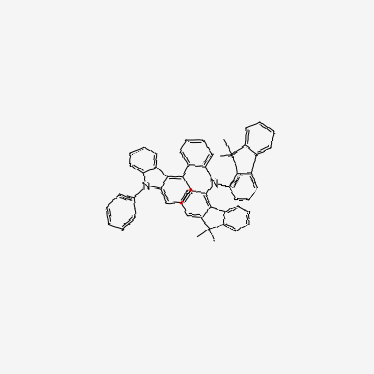 CC1(C)c2ccccc2-c2c(N(c3ccccc3-c3cccc4c3c3ccccc3n4-c3ccccc3)c3cccc4c3C(C)(C)c3ccccc3-4)cccc21